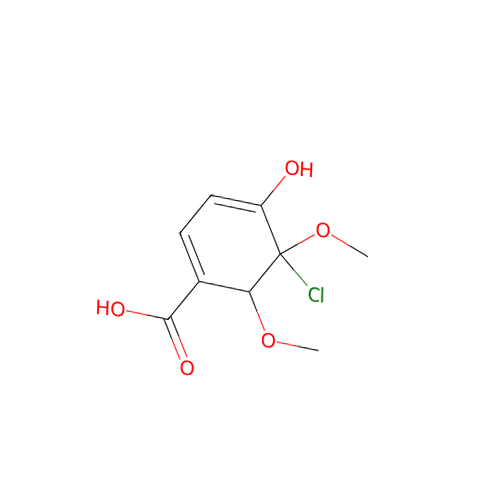 COC1C(C(=O)O)=CC=C(O)C1(Cl)OC